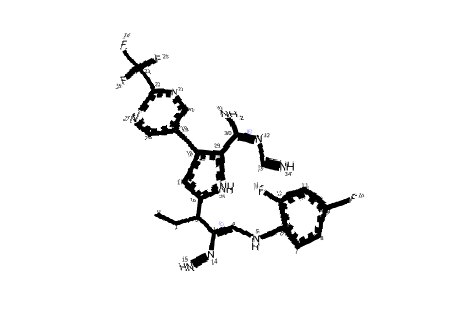 CCC(/C(=C/Nc1ccc(F)cc1F)N=N)c1cc(-c2cnc(C(F)(F)F)nc2)c(/C(N)=N\C=N)[nH]1